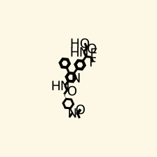 CC(=O)N(C)[C@H]1CC[C@H](CC(=O)Nc2cnc(-c3ccc(C(NC(=O)O)C(F)F)cc3)c(-c3ccccc3)c2)CC1